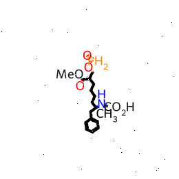 COC(=O)C(CCCCC(C)(Cc1ccccc1)NC(=O)O)CO[PH2]=O